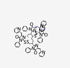 [CH2]CC(C1=N/C(=C\c2ccccn2)C(=O)N1c1ccccc1)C(CCC(CSSC1=NC(=Cc2ccccn2)C(=O)N1c1ccccc1)C1=NC(=Cc2ccccn2)C(=O)N1c1ccccc1)SSC1=N/C(=C\c2ccccn2)C(=O)N1c1ccccc1